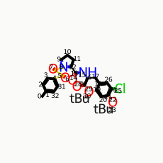 Cc1ccc(S(=O)(=O)N2CCC[C@H]2C(=O)N[C@@H](Cc2ccc(OC(C)(C)C)c(Cl)c2)C(=O)OC(C)(C)C)cc1